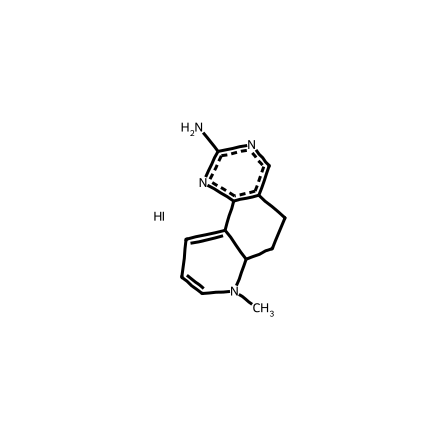 CN1C=CC=C2c3nc(N)ncc3CCC21.I